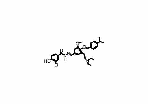 CCN(CC)CCc1cc(/C=N/NC(=O)c2ccc(O)c(Cl)c2)cc(OC)c1OCc1ccc(C(C)C)cc1